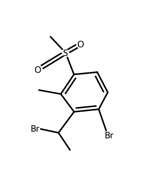 Cc1c(S(C)(=O)=O)ccc(Br)c1C(C)Br